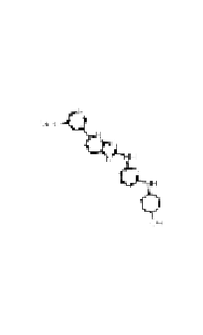 COc1cncc(-c2ccc3nc(Nc4cccc(NC5CCC(O)CC5)n4)sc3n2)c1